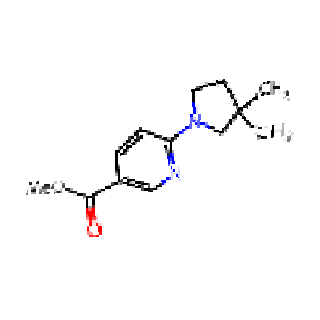 COC(=O)c1ccc(N2CCC(C)(C)C2)nc1